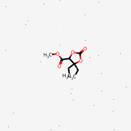 CCC1(CC)OC(=O)OC1C(=O)OC